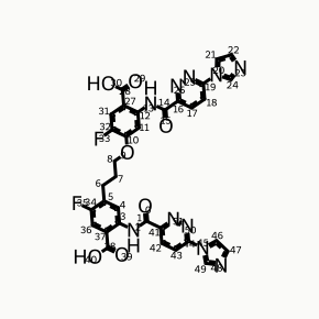 O=C(Nc1cc(CCCOc2cc(NC(=O)c3ccc(-n4ccnc4)nn3)c(C(=O)O)cc2F)c(F)cc1C(=O)O)c1ccc(-n2ccnc2)nn1